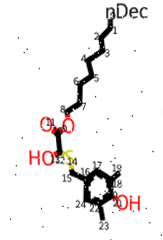 CCCCCCCCCCCCCCCCCCOC(=O)C(O)SCc1cc(C)c(O)c(C)c1